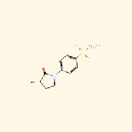 CNS(=O)(=O)c1ccc(N2CC[C@@H](C)C2=O)cc1